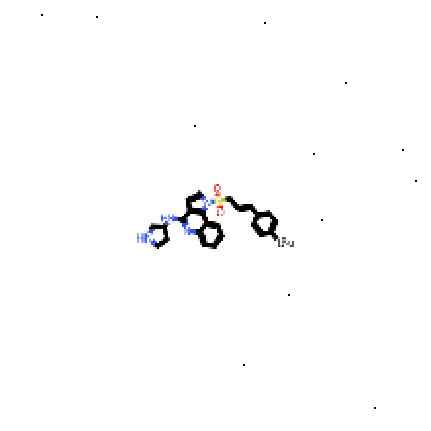 CC(C)(C)c1ccc(C=CCS(=O)(=O)n2ccc3c(NC4CCNC4)nc4ccccc4c32)cc1